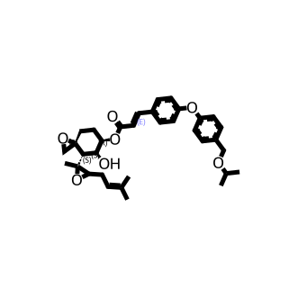 CC(C)=CCC1OC1(C)[C@H]1[C@H](O)[C@H](OC(=O)/C=C/c2ccc(Oc3ccc(COC(C)C)cc3)cc2)CC[C@]12CO2